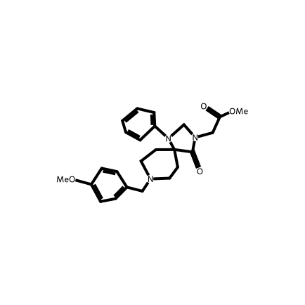 COC(=O)CN1CN(c2ccccc2)C2(CCN(Cc3ccc(OC)cc3)CC2)C1=O